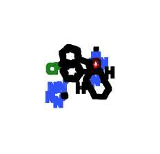 Cn1nc2c(c1-c1cccc(Cl)c1)C[C@@H]1CCC[C@H]2N1C(=O)c1cccc(-n2cnnn2)c1